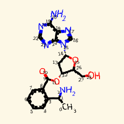 CC(N)c1ccccc1C(=O)O[C@@H]1C[C@H](n2cnc3c(N)ncnc32)OC1CO